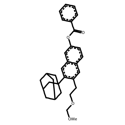 COCOCCc1cc2ccc(OC(=O)c3ccccc3)cc2cc1C12CC3CC(CC(C3)C1)C2